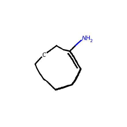 N/C1=C/CCCCCC1